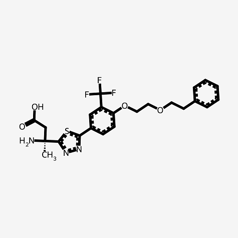 C[C@](N)(CC(=O)O)c1nnc(-c2ccc(OCCOCCc3ccccc3)c(C(F)(F)F)c2)s1